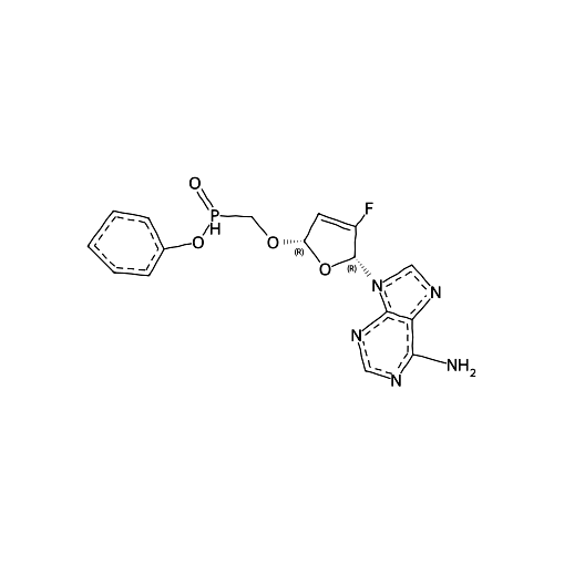 Nc1ncnc2c1ncn2[C@@H]1O[C@H](OC[PH](=O)Oc2ccccc2)C=C1F